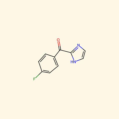 O=C(c1ccc(F)cc1)c1ncc[nH]1